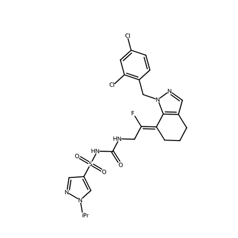 CC(C)n1cc(S(=O)(=O)NC(=O)NCC(F)=C2CCCc3cnn(Cc4ccc(Cl)cc4Cl)c32)cn1